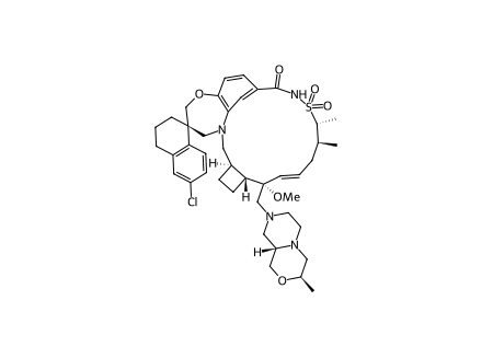 CO[C@@]1(CN2CCN3C[C@@H](C)OC[C@@H]3C2)/C=C/C[C@H](C)[C@@H](C)S(=O)(=O)NC(=O)c2ccc3c(c2)N(C[C@@H]2CC[C@H]21)C[C@@]1(CCCc2cc(Cl)ccc21)CO3